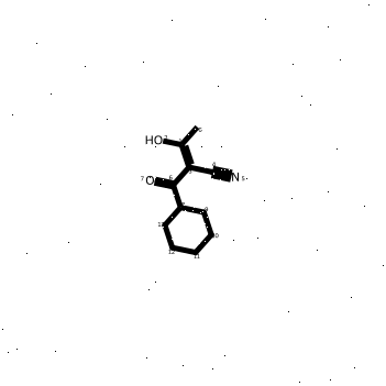 C/C(O)=C(\C#N)C(=O)C1CCCCC1